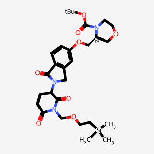 CC(C)(C)OC(=O)N1CCOC[C@H]1COc1ccc2c(c1)CN(C1CCC(=O)N(COCC[Si](C)(C)C)C1=O)C2=O